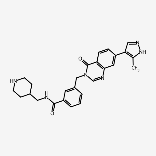 O=C(NCC1CCNCC1)c1cccc(Cn2cnc3cc(-c4cn[nH]c4C(F)(F)F)ccc3c2=O)c1